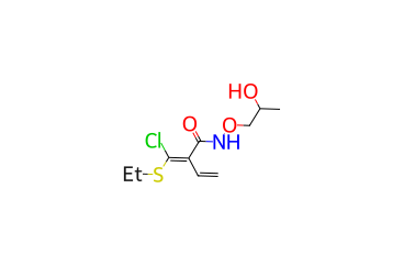 C=C/C(C(=O)NOCC(C)O)=C(/Cl)SCC